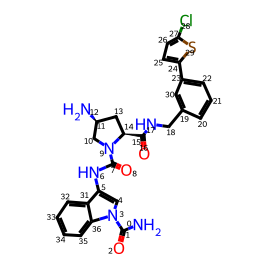 NC(=O)n1cc(NC(=O)N2C[C@@H](N)C[C@H]2C(=O)NCc2cccc(-c3ccc(Cl)s3)c2)c2ccccc21